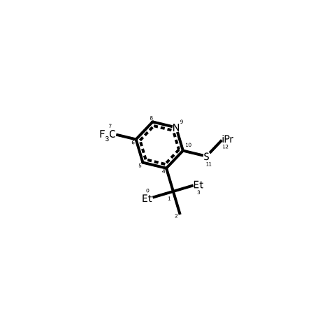 CCC(C)(CC)c1cc(C(F)(F)F)cnc1SC(C)C